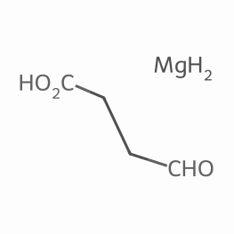 O=CCCC(=O)O.[MgH2]